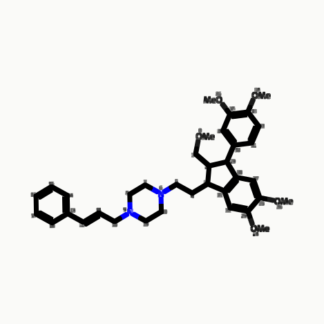 COCC1C(CCN2CCN(CC=Cc3ccccc3)CC2)c2cc(OC)c(OC)cc2C1c1ccc(OC)c(OC)c1